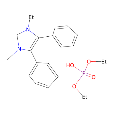 CCN1CN(C)C(c2ccccc2)=C1c1ccccc1.CCOP(=O)(O)OCC